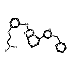 CCN(CC)CCOc1cc(Nc2nc3cccc(-c4cnn(Cc5ccccc5)c4)n3n2)ccn1